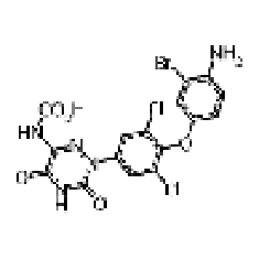 Nc1ccc(Oc2c(Cl)cc(-n3nc(NC(=O)O)c(=O)[nH]c3=O)cc2Cl)cc1Br